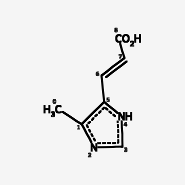 Cc1nc[nH]c1C=CC(=O)O